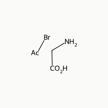 CC(=O)Br.NCC(=O)O